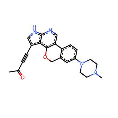 CC(=O)C#Cc1c[nH]c2ncc3c(c12)OCc1cc(N2CCN(C)CC2)ccc1-3